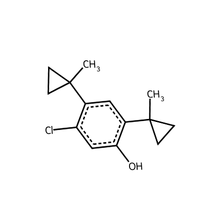 CC1(c2cc(C3(C)CC3)c(Cl)cc2O)CC1